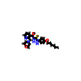 CCCCCCOc1ccc(NC(=S)NC(=O)c2cccnc2CN2CCOCC2)cc1